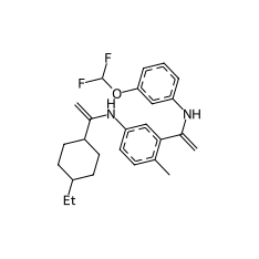 C=C(Nc1cccc(OC(F)F)c1)c1cc(NC(=C)C2CCC(CC)CC2)ccc1C